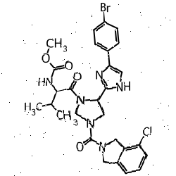 COC(=O)NC(C(=O)N1CN(C(=O)N2Cc3cccc(Cl)c3C2)CC1c1nc(-c2ccc(Br)cc2)c[nH]1)C(C)C